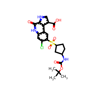 CC(C)(C)OC(=O)NC1CCC(S(=O)(=O)c2cc3c(cc2Cl)[nH]c(=O)c2[nH]cc(C(=O)O)c23)C1